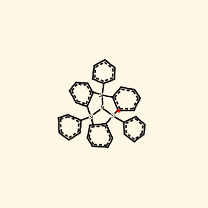 C[Si](c1ccccc1)(c1ccccc1)N([Si](C)(c1ccccc1)c1ccccc1)[Si](C)(c1ccccc1)c1ccccc1